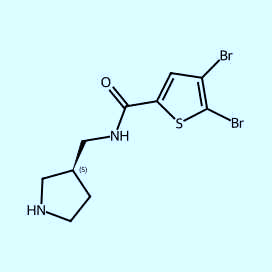 O=C(NC[C@H]1CCNC1)c1cc(Br)c(Br)s1